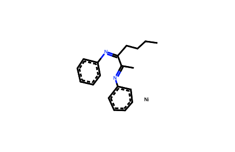 CCCCC(=Nc1ccccc1)C(C)=Nc1ccccc1.[Ni]